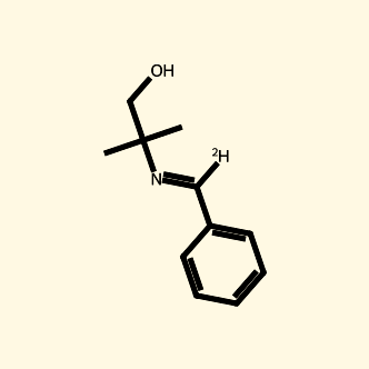 [2H]C(=NC(C)(C)CO)c1ccccc1